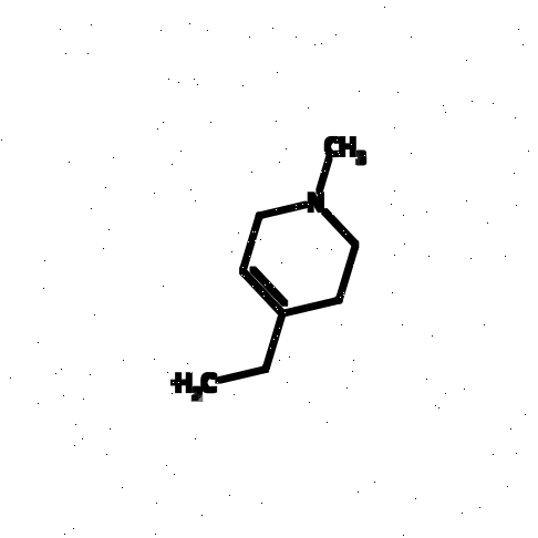 [CH2]CC1=CCN(C)CC1